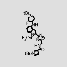 CC(C)(C)N1CC[C@@H](Nc2cccc3c2cc(-c2noc(CNC(=O)c4ccn(C(C)(C)C)c4)n2)n3CC(F)(F)F)[C@@H](F)C1